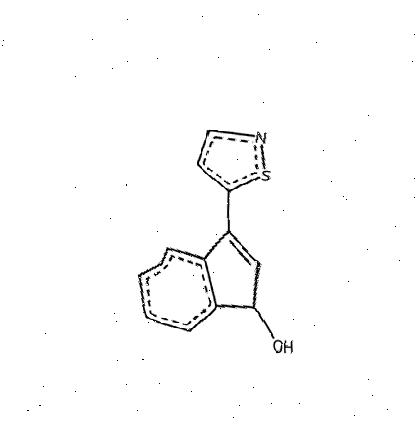 OC1C=C(c2ccns2)c2ccccc21